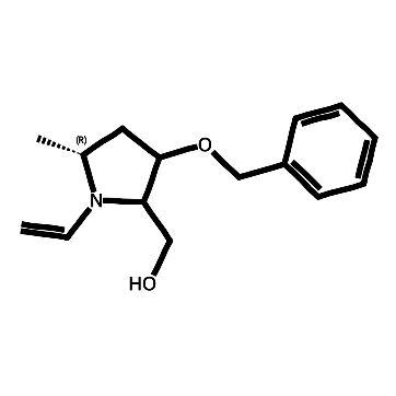 C=CN1C(CO)C(OCc2ccccc2)C[C@H]1C